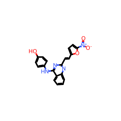 O=[N+]([O-])c1ccc(C=Cc2nc(Nc3ccc(O)cc3)c3ccccc3n2)o1